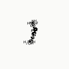 BC(O)(O)ON=C1CN(c2ncc(-c3cccc(COC(=O)NC(=N)N)c3F)cn2)C1